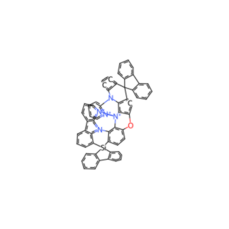 c1ccc2c(c1)-c1ccccc1C21c2ccccc2N2c3c1ccc1c3[N+]3(c4c(ccc5c4-n4c6c(cccc6c6ccc[n+]3c64)[Si]53c4ccccc4-c4ccccc43)O1)[n+]1ccccc12